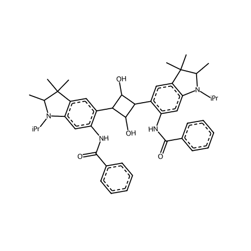 CC(C)N1c2cc(NC(=O)c3ccccc3)c(C3C(O)C(c4cc5c(cc4NC(=O)c4ccccc4)N(C(C)C)C(C)C5(C)C)C3O)cc2C(C)(C)C1C